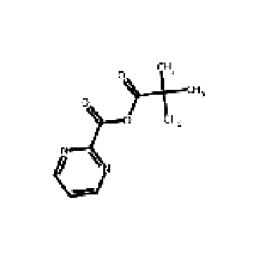 CC(C)(C)C(=O)OC(=O)c1ncccn1